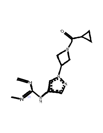 C=N/C(=N\C)Nc1cnn(C2CN(C(=O)C3CC3)C2)c1